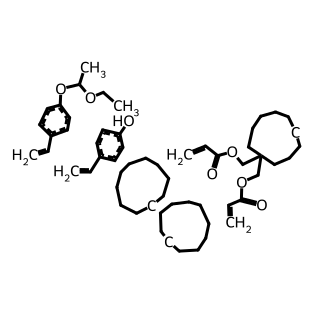 C1CCCCCCCCC1.C1CCCCCCCCC1.C=CC(=O)OCC1(COC(=O)C=C)CCCCCCCCC1.C=Cc1ccc(O)cc1.C=Cc1ccc(OC(C)OCC)cc1